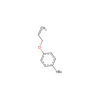 C=CCOc1ccc(CCCC)cc1